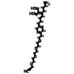 C#CCOCCOCCOCCOCCN1CCN(CCCCN(CCCN)C(CO)CO)CC1